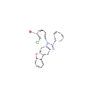 Clc1c(Br)cccc1-n1c(-c2ccccc2)nc2cc3c(cc21)oc1ccccc13